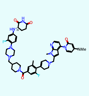 CNc1ccn(-c2ccnc3c2cc(CN2CC=C(c4c(C)cc(C(=O)N5CCC(CN6CCN(c7ccc(N[C@H]8CCC(=O)NC8=O)cc7F)CC6)CC5)cc4F)CC2)n3C)c(=O)c1